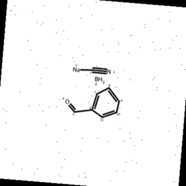 B.N#[C][Na].O=Cc1ccccc1